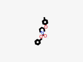 Cc1ccc(OC2CCCN(C(=O)OCc3ccccc3)C2)cc1